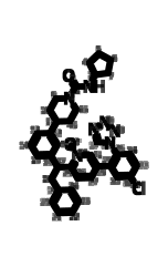 O=C(NC1CCCC1)N1CCC(c2cccc(C(Cc3ccccc3)c3ccc(-c4cc(Cl)ccc4-n4cnnn4)c[n+]3[O-])c2)CC1